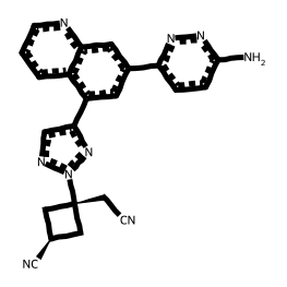 N#CC[C@]1(n2ncc(-c3cc(-c4ccc(N)nn4)cc4ncccc34)n2)C[C@H](C#N)C1